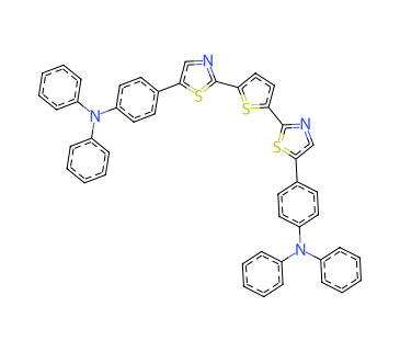 c1ccc(N(c2ccccc2)c2ccc(-c3cnc(-c4ccc(-c5ncc(-c6ccc(N(c7ccccc7)c7ccccc7)cc6)s5)s4)s3)cc2)cc1